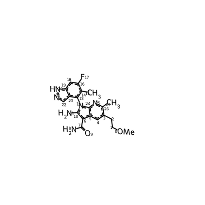 COCCc1cc2c(C(N)=O)c(N)n(-c3c(C)c(F)cc4[nH]ncc34)c2nc1C